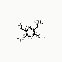 C=Cc1nc(C=C)c(C)nc1C